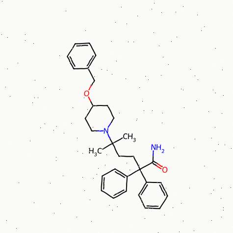 CC(C)(CCC(C(N)=O)(c1ccccc1)c1ccccc1)N1CCC(OCc2ccccc2)CC1